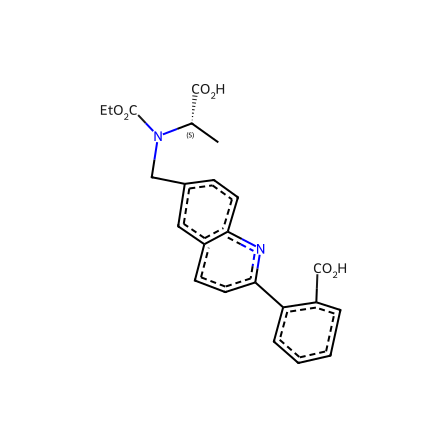 CCOC(=O)N(Cc1ccc2nc(-c3ccccc3C(=O)O)ccc2c1)[C@@H](C)C(=O)O